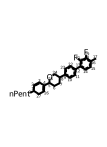 CCCCCC1C=CC(C2CCC(c3ccc(-c4ccc(C)c(F)c4F)cc3)CO2)=CC1